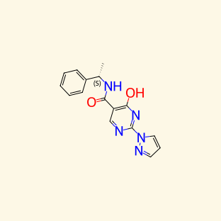 C[C@H](NC(=O)c1cnc(-n2cccn2)nc1O)c1ccccc1